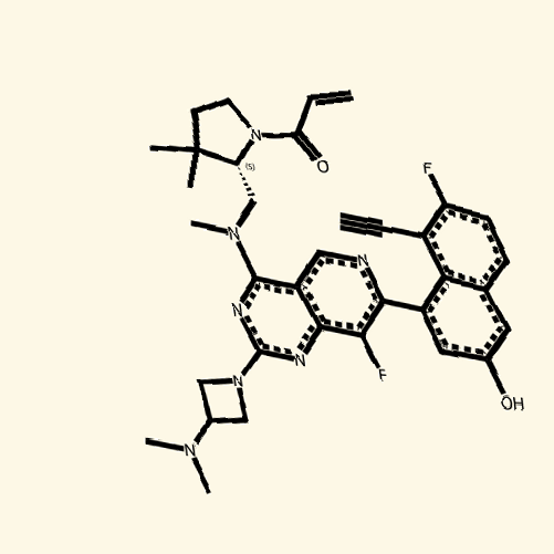 C#Cc1c(F)ccc2cc(O)cc(-c3ncc4c(N(C)C[C@H]5N(C(=O)C=C)CCC5(C)C)nc(N5CC(N(C)C)C5)nc4c3F)c12